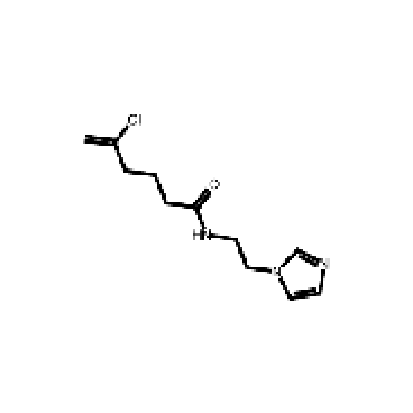 C=C(O)CCCC(=O)NCCn1ccnc1